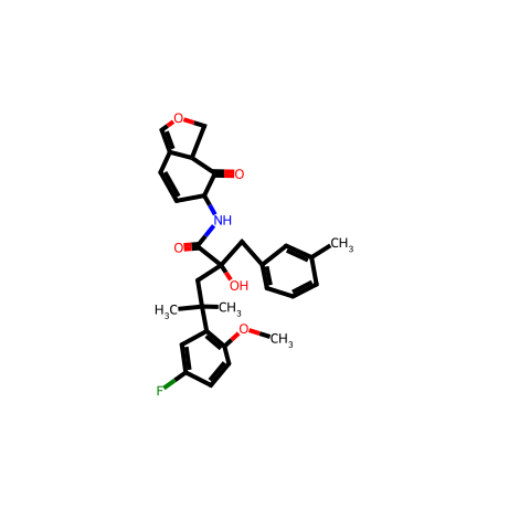 COc1ccc(F)cc1C(C)(C)CC(O)(Cc1cccc(C)c1)C(=O)NC1C=CC2=COCC2C1=O